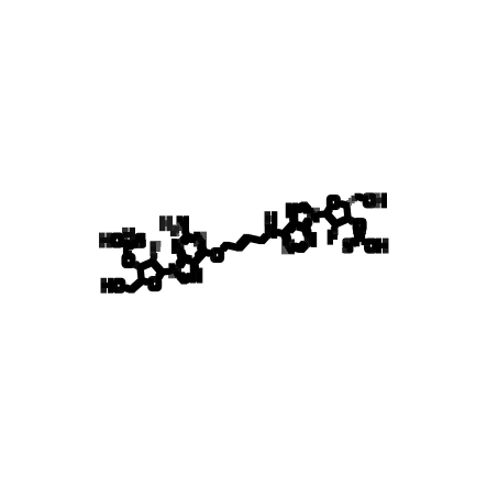 Nc1nc(OC/C=C/CNc2ncnc3c2ncn3C2O[C@H](CO)[C@@H](O[PH](O)=S)[C@H]2F)c2ncn(C3OC(CO)[C@@H](O[PH](O)=S)[C@H]3F)c2n1